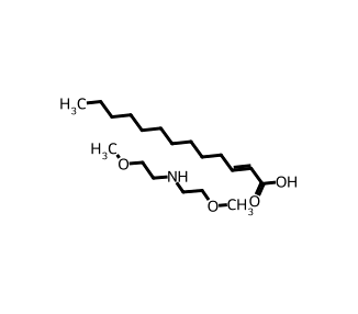 CCCCCCCCCCC=CC(=O)O.COCCNCCOC